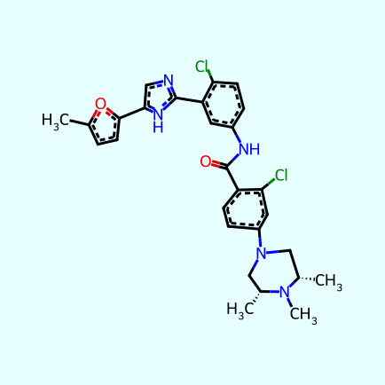 Cc1ccc(-c2cnc(-c3cc(NC(=O)c4ccc(N5C[C@@H](C)N(C)[C@@H](C)C5)cc4Cl)ccc3Cl)[nH]2)o1